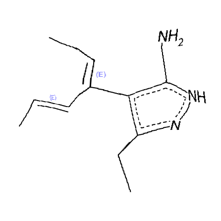 C/C=C/C(=C\C)c1c(CC)n[nH]c1N